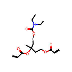 C=CC(=O)OCCC(C)(CCOC(=O)N(CC)CC)OC(=O)C=C